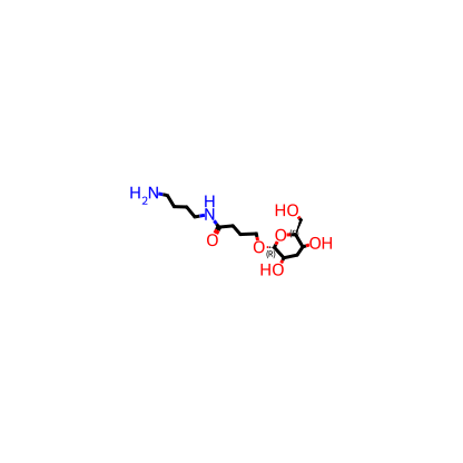 NCCCCNC(=O)CCCO[C@@H]1O[C@@H](CO)C(O)CC1O